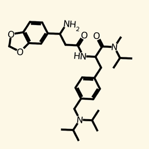 CC(C)N(C)C(=O)C(Cc1ccc(CN(C(C)C)C(C)C)cc1)NC(=O)CC(N)c1ccc2c(c1)OCO2